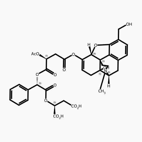 CC(=O)O[C@@H](CC(=O)OC1=CC[C@@]2(O)[C@H]3Cc4ccc(CO)c5c4[C@@]2(CCN3C)[C@H]1O5)C(=O)O[C@H](C(=O)O[C@@H](CC(=O)O)C(=O)O)c1ccccc1